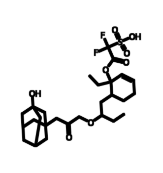 CCC(CC1CCC=CC1(CC)OC(=O)C(F)(F)S(=O)(=O)O)OCC(=O)CC12CC3CC(CC(O)(C3)C1)C2